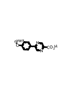 CCCCCCOc1ccc(-c2cnc(C(=O)O)cn2)cc1